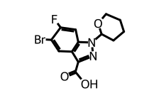 O=C(O)c1nn(C2CCCCO2)c2cc(F)c(Br)cc12